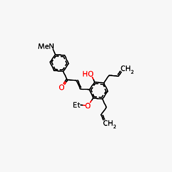 C=CCc1cc(CC=C)c(OCC)c(C=CC(=O)c2ccc(NC)cc2)c1O